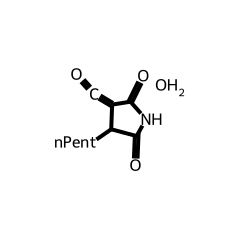 CCCCCC1C(=O)NC(=O)C1=C=O.O